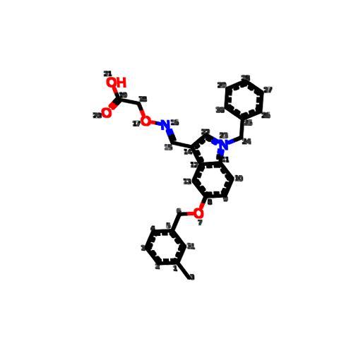 Cc1cccc(COc2ccc3c(c2)c(/C=N/OCC(=O)O)cn3Cc2ccccc2)c1